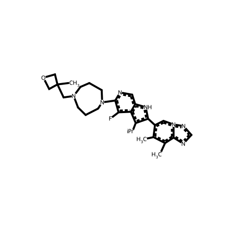 Cc1c(-c2[nH]c3cnc(N4CCCN(CC5(C)COC5)CCC4)c(F)c3c2C(C)C)cn2ncnc2c1C